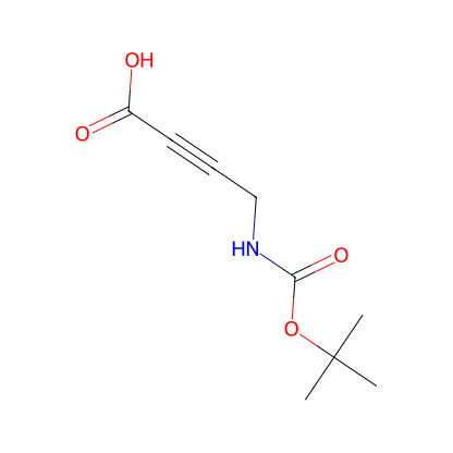 CC(C)(C)OC(=O)NCC#CC(=O)O